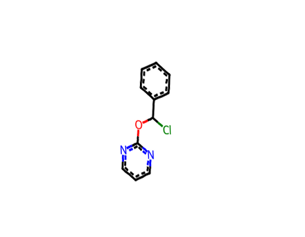 ClC(Oc1ncccn1)c1ccccc1